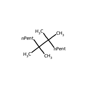 CCCCCC(C)(C)C(C)(C)CCCCC